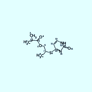 C=C(C)C(=O)OCC(C)Sc1cc[nH]c(=O)n1